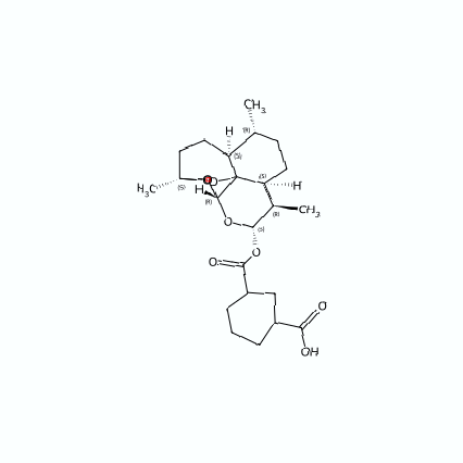 C[C@H]1[C@H](OC(=O)C2CCCC(C(=O)O)C2)O[C@@H]2O[C@]3(C)CC[C@H]4[C@H](C)CC[C@@H]1C24OO3